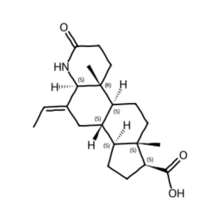 CC=C1C[C@@H]2[C@H](CC[C@]3(C)[C@@H](C(=O)O)CC[C@@H]23)[C@@]2(C)CCC(=O)N[C@H]12